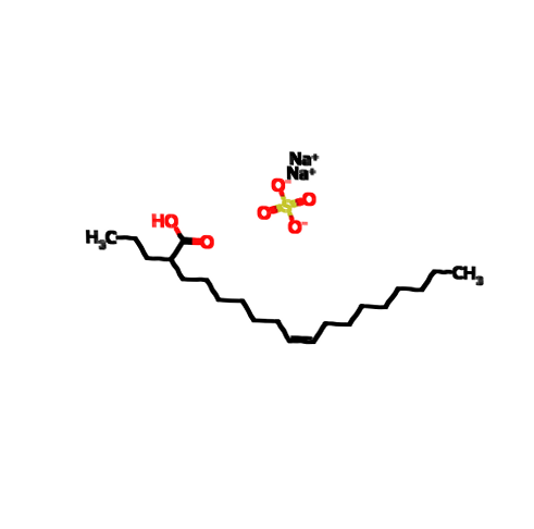 CCCCCCCC/C=C\CCCCCCC(CCC)C(=O)O.O=S(=O)([O-])[O-].[Na+].[Na+]